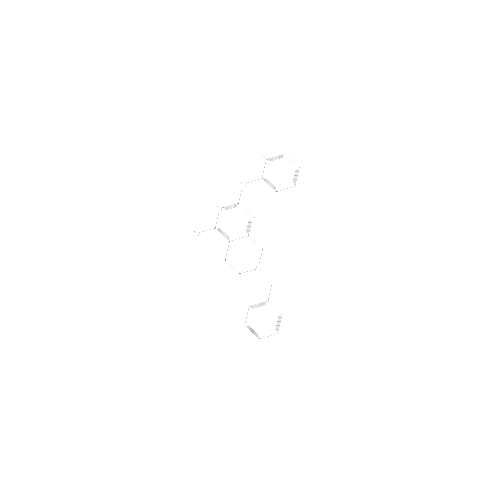 Nc1nc(Nc2ccccc2O)nc2c1CCN(Cc1ccccc1)C2